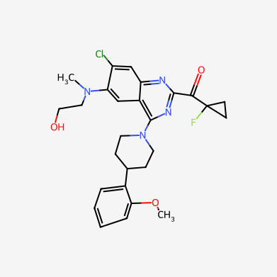 COc1ccccc1C1CCN(c2nc(C(=O)C3(F)CC3)nc3cc(Cl)c(N(C)CCO)cc23)CC1